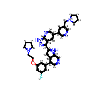 Fc1cc(OCCN2CCCC2)cc(-c2cncc3[nH]c(-c4n[nH]c5ncc(-c6cncc(CN7CCCC7)c6)cc45)cc23)c1